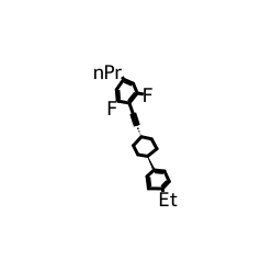 CCCc1cc(F)c(C#C[C@H]2CC[C@H](c3ccc(CC)cc3)CC2)c(F)c1